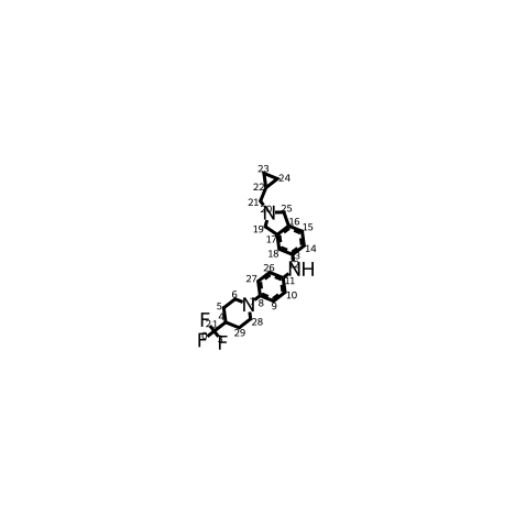 FC(F)(F)C1CCN(c2ccc(Nc3ccc4c(c3)CN(CC3CC3)C4)cc2)CC1